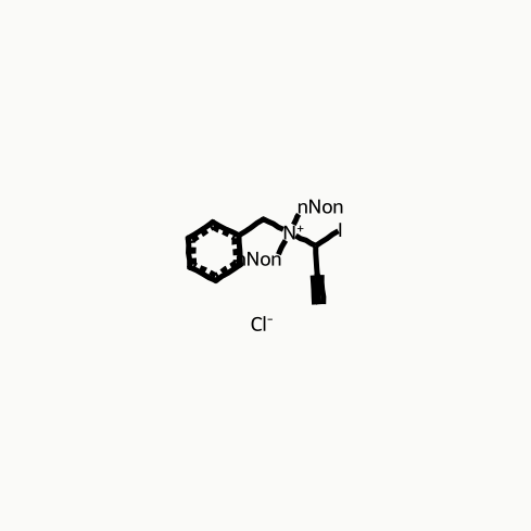 C#CC(I)[N+](CCCCCCCCC)(CCCCCCCCC)Cc1ccccc1.[Cl-]